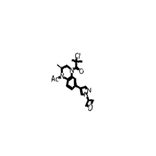 CC(=O)N1c2ccc(-c3cnn(C4COC4)c3)cc2N(C(=O)C(C)(C)Cl)C[C@@H]1C